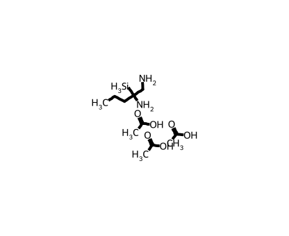 CC(=O)O.CC(=O)O.CC(=O)O.CCCC(N)([SiH3])CN